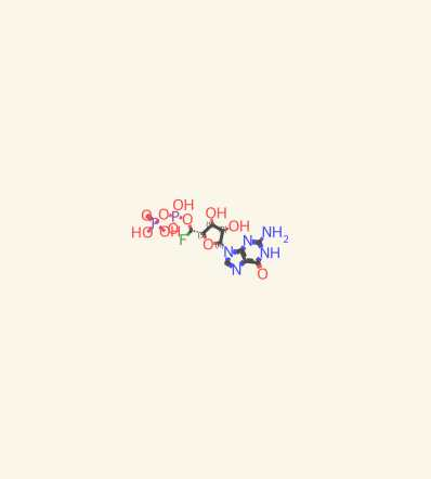 Nc1nc2c(ncn2[C@@H]2O[C@H](C(F)OP(=O)(O)OP(=O)(O)O)[C@@H](O)[C@H]2O)c(=O)[nH]1